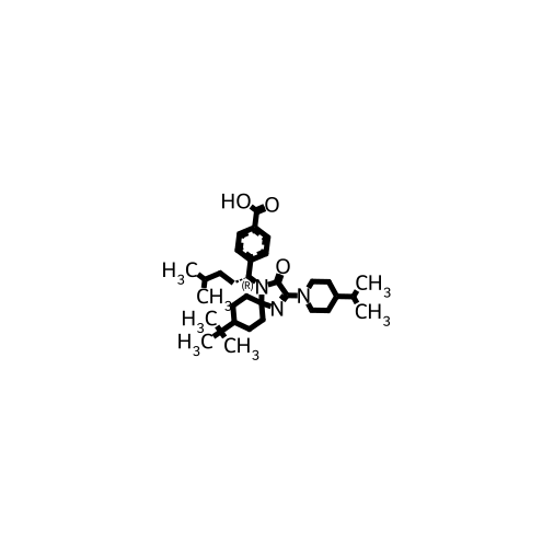 CC(C)CC[C@H](c1ccc(C(=O)O)cc1)N1C(=O)C(N2CCC(C(C)C)CC2)=NC12CCC(C(C)(C)C)CC2